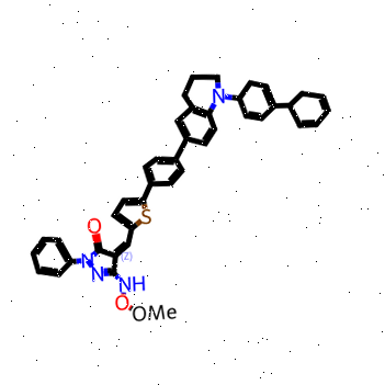 COONC1=NN(c2ccccc2)C(=O)/C1=C\c1ccc(-c2ccc(-c3ccc4c(c3)CCCN4C3C=CC(C4C=CC=CC4)=CC3)cc2)s1